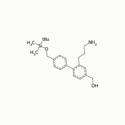 CC(C)(C)[Si](C)(C)OCc1ccc(-c2ccc(CO)cc2CCCN)cc1